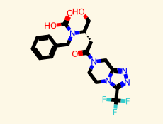 O=C(C[C@@H](CO)N(Cc1ccccc1)C(=O)O)N1CCn2c(nnc2C(F)(F)F)C1